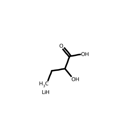 CCC(O)C(=O)O.[LiH]